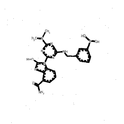 COc1nc2c(C(N)=O)cccc2n1-c1nc(NCc2cccc(B(O)O)c2)nc(N(C)C)n1